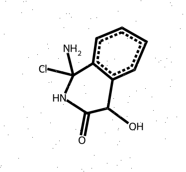 NC1(Cl)NC(=O)C(O)c2ccccc21